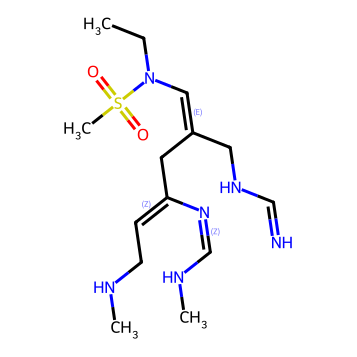 CCN(/C=C(/CNC=N)CC(=C/CNC)/N=C\NC)S(C)(=O)=O